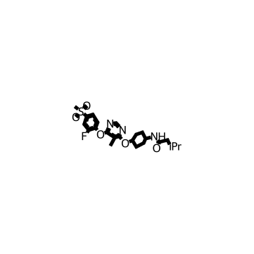 Cc1c(Oc2ccc(S(C)(=O)=O)cc2F)ncnc1OC1CCC(NC(=O)CC(C)C)CC1